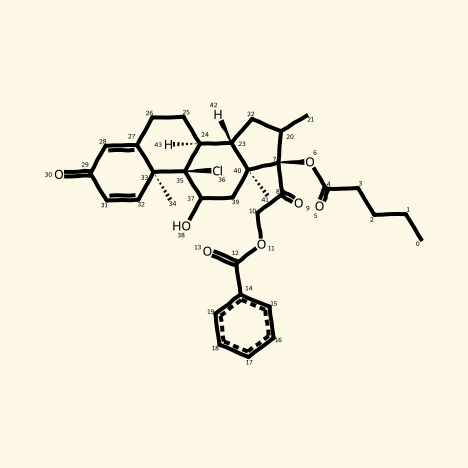 CCCCC(=O)O[C@]1(C(=O)COC(=O)c2ccccc2)C(C)C[C@H]2[C@@H]3CCC4=CC(=O)C=C[C@]4(C)[C@@]3(Cl)C(O)C[C@@]21C